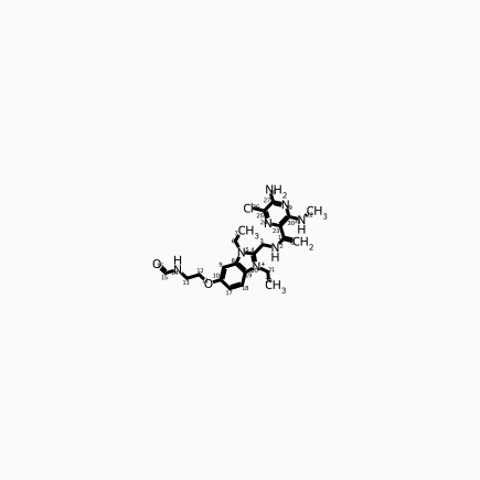 C=C(NCc1n(CC)c2cc(OCCNC=O)ccc2[n+]1CC)c1nc(Cl)c(N)nc1NC